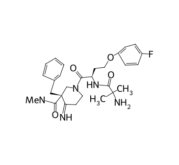 CNC(=O)[C@]1(Cc2ccccc2)CN(C(=O)[C@@H](CCOc2ccc(F)cc2)NC(=O)C(C)(C)N)CCC1=N